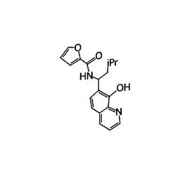 CC(C)CC(NC(=O)c1ccco1)c1ccc2cccnc2c1O